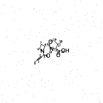 CC#CC(=O)N1CC[C@@H]1C(=O)N(C)C(C(=O)O)C(C)C